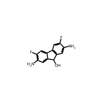 Nc1cc2c(cc1F)-c1cc(F)c(N)cc1C2O